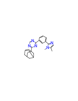 Cc1cnc(-c2cccc(-c3ncnc(C45CC6CC(CC(C6)C4)C5)n3)c2)n1C